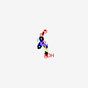 COCCOc1ccc(N(CC2CCCC2)C(=O)Nc2ncc(SCC(C)(C)C(=O)O)s2)c(F)c1